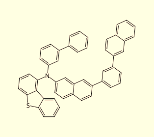 c1ccc(-c2cccc(N(c3ccc4ccc(-c5cccc(-c6ccc7ccccc7c6)c5)cc4c3)c3cccc4sc5ccccc5c34)c2)cc1